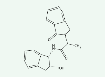 CC(C(=O)N[C@H]1c2ccccc2C[C@H]1O)N1Cc2ccccc2C1=O